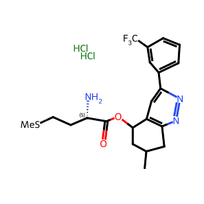 CSCC[C@H](N)C(=O)OC1CC(C)Cc2nnc(-c3cccc(C(F)(F)F)c3)cc21.Cl.Cl